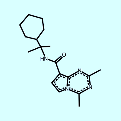 Cc1nc(C)n2ccc(C(=O)NC(C)(C)C3CCCCC3)c2n1